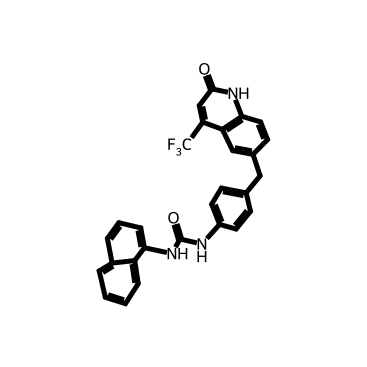 O=C(Nc1ccc(Cc2ccc3[nH]c(=O)cc(C(F)(F)F)c3c2)cc1)Nc1cccc2ccccc12